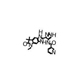 CCN1C(=O)C(C)(C)c2cc3[nH]c(-c4n[nH]cc4NC(=O)c4cccnc4)nc3cc21